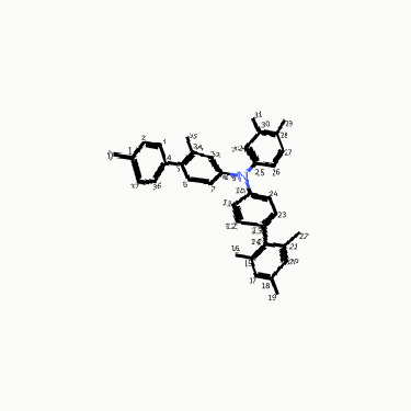 Cc1ccc(-c2ccc(N(c3ccc(-c4c(C)cc(C)cc4C)cc3)c3ccc(C)c(C)c3)cc2C)cc1